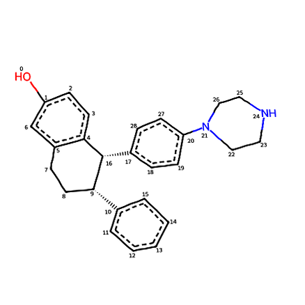 Oc1ccc2c(c1)CC[C@@H](c1ccccc1)[C@H]2c1ccc(N2CCNCC2)cc1